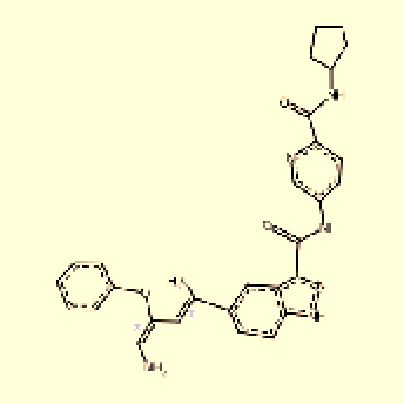 C/C(=C\C(=C/N)Oc1ccccc1)c1ccc2[nH]nc(C(=O)Nc3ccc(C(=O)NC4CCCC4)nc3)c2c1